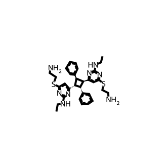 CCNc1nc(SCCN)cc([C@H]2[C@H](c3ccccc3)[C@H](c3cc(SCCN)nc(NCC)n3)[C@H]2c2ccccc2)n1